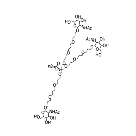 CCCCC(=O)NC(COCCCOCCCOCCCOC1OC(CO)C(O)C(O)C1NC(C)=O)(COCCCOCCCOCCCOC1OC(CO)C(O)C(O)C1NC(C)=O)COCCCOCCCOCCCOC1OC(CO)C(O)C(O)C1NC(C)=O